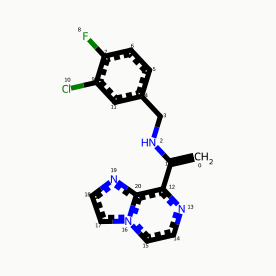 C=C(NCc1ccc(F)c(Cl)c1)c1nccn2ccnc12